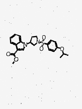 COC(=O)c1cn(C2CCN(S(=O)(=O)c3ccc(OC(C)C)cc3)C2)c2ccccc12